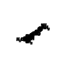 Cc1cc(C)c(S(=O)(=O)NC2CCN(CC3CN(c4ccc(C(=N)N)cc4)C(=O)O3)CC2)c(C)c1